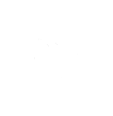 C=C=C1C(C(F)(F)F)=NN(C)C1C